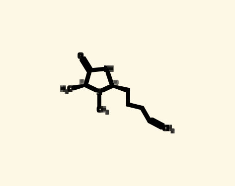 C=CCCC[C@@H]1NC(=O)[C@H](C)N1C